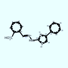 O=C(O)c1ccccc1/C=N/Nc1nc(-c2ccccc2)cs1